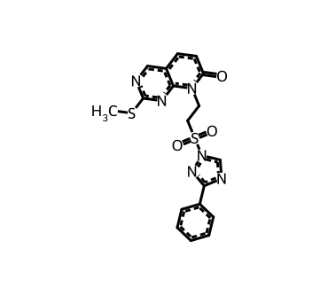 CSc1ncc2ccc(=O)n(CCS(=O)(=O)n3cnc(-c4ccccc4)n3)c2n1